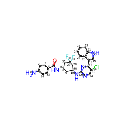 Nc1ccc(C(=O)N[C@H]2C[C@@H](Nc3ncc(Cl)c(-c4c[nH]c5ccccc45)n3)CC(F)(F)C2)cc1